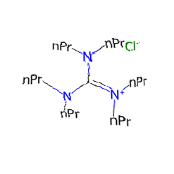 CCCN(CCC)C(N(CCC)CCC)=[N+](CCC)CCC.[Cl-]